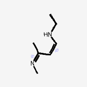 CCN/C=C\C(C)=N/C